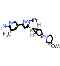 CO[C@@H]1CCN([C@H]2C[C@@H]3[C@H](C2)[C@H]3c2cc(-c3cnc(N)c(C(F)(F)F)c3)nn2C(C)C)C1